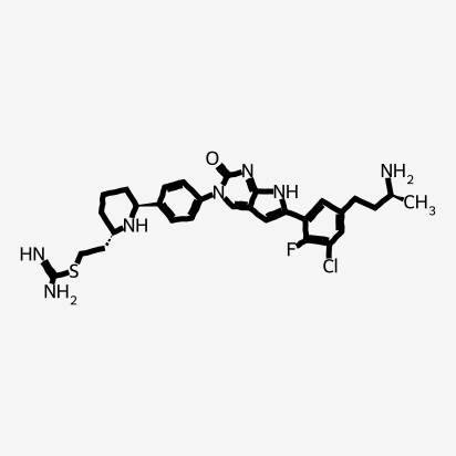 C[C@H](N)CCc1cc(Cl)c(F)c(-c2cc3cn(-c4ccc([C@@H]5CCC[C@@H](CCSC(=N)N)N5)cc4)c(=O)nc3[nH]2)c1